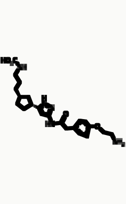 NCCOc1ccc(CC(=O)Nc2cc([C@@H]3CC[C@@H](CCCNC(=O)O)C3)[nH]n2)cc1